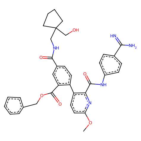 COc1ccc(-c2ccc(C(=O)NCC3(CO)CCCC3)cc2C(=O)OCc2ccccc2)c(C(=O)Nc2ccc(C(=N)N)cc2)n1